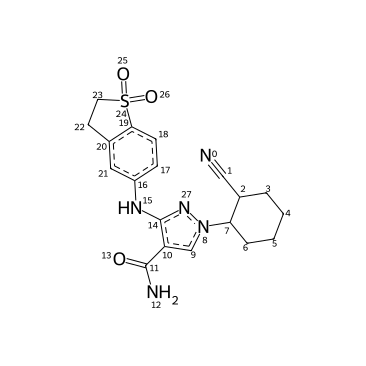 N#CC1CCCCC1n1cc(C(N)=O)c(Nc2ccc3c(c2)CCS3(=O)=O)n1